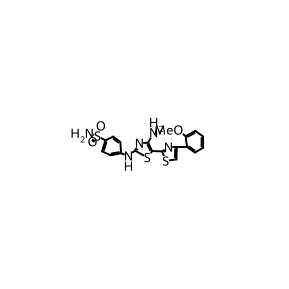 COc1ccccc1-c1csc(-c2sc(Nc3ccc(S(N)(=O)=O)cc3)nc2N)n1